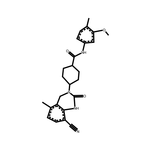 COc1cc(NC(=O)C2CCC(N3Cc4c(C)ccc(C#N)c4NC3=O)CC2)ccc1C